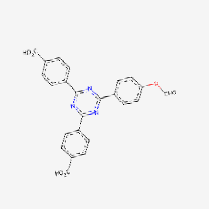 O=COc1ccc(-c2nc(-c3ccc(C(=O)O)cc3)nc(-c3ccc(C(=O)O)cc3)n2)cc1